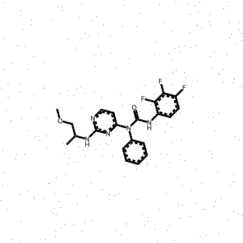 COCC(C)Nc1nccc(N(C(=O)Nc2ccc(F)c(F)c2F)c2ccccc2)n1